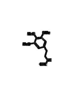 COc1cc(CCN[C]=O)cc(OC)c1OC